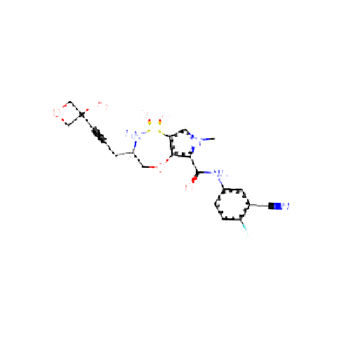 Cn1cc2c(c1C(=O)Nc1ccc(F)c(C#N)c1)OC[C@@H](CC#CC1(O)COC1)NS2(=O)=O